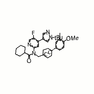 COc1ccc(C23CCC(CN(C(=O)C4CCCCC4)c4cc(-c5cnn(C(C)(C)C)c5)c(F)cn4)(CC2)CC3)cc1C